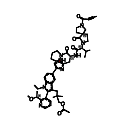 CC#CC(=O)N1CC[C@]2(CCN([C@H](C(=O)N[C@@H](Cc3nc(-c4ccc5c(c4)c(CC(C)(C)COC(C)=O)c(-c4cccnc4[C@H](C)OC)n5CC)cs3)C(=O)N3CCCCN3)C(C)C)C2=O)C1